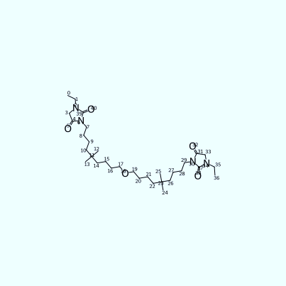 CCN1CC(=O)N(CCCCC(C)(C)CCCCOCCCCC(C)(C)CCCCN2C(=O)CN(CC)C2=O)C1=O